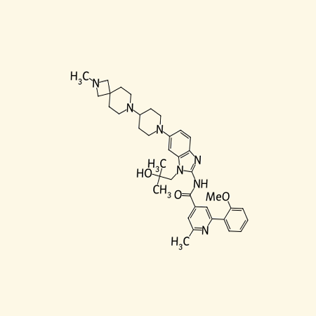 COc1ccccc1-c1cc(C(=O)Nc2nc3ccc(N4CCC(N5CCC6(CC5)CN(C)C6)CC4)cc3n2CC(C)(C)O)cc(C)n1